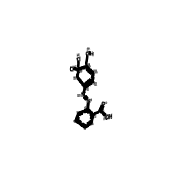 O=C(O)c1ccccc1N=NC1=CC=C(O)C(Cl)(Cl)C1